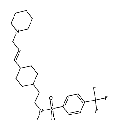 CN(CCC1CCC(C=CCN2CCCCC2)CC1)S(=O)(=O)c1ccc(C(F)(F)F)cc1